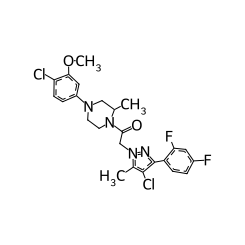 COc1cc(N2CCN(C(=O)Cn3nc(-c4ccc(F)cc4F)c(Cl)c3C)C(C)C2)ccc1Cl